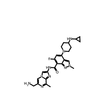 Cc1nc(CN)cn2cc(NC(=O)c3c(F)cc(N4CCC(NC5CC5)CC4)c4cn(C)nc34)nc12